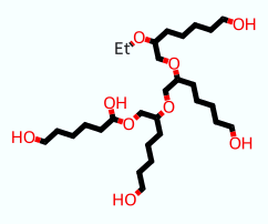 CCOC(CCCCCO)COC(CCCCCO)COC(CCCCCO)COC(O)CCCCCO